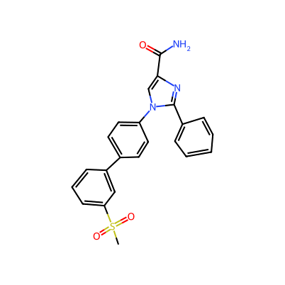 CS(=O)(=O)c1cccc(-c2ccc(-n3cc(C(N)=O)nc3-c3ccccc3)cc2)c1